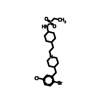 CCS(=O)(=O)NC1CCC(CCN2CCC(Cc3cc(Cl)ccc3Br)CC2)CC1